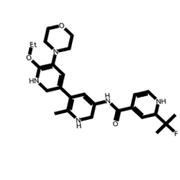 CCOC1=C(N2CCOCC2)C=C(C2=C(C)NCC(NC(=O)C3=CC(C(C)(C)F)NC=C3)=C2)CN1